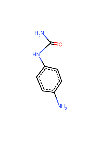 NC(=O)Nc1ccc(N)cc1